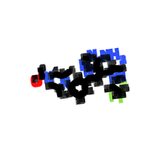 CC(=O)N1CC(C)N(c2cccc(-c3cc(-c4ccnn4CC(F)(F)F)c4c(N)ncnn34)c2)C(C)C1